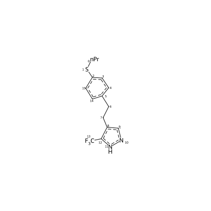 CCCSc1ccc(CCc2[c]n[nH]c2C(F)(F)F)cc1